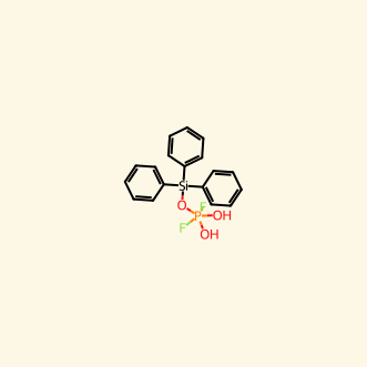 OP(O)(F)(F)O[Si](c1ccccc1)(c1ccccc1)c1ccccc1